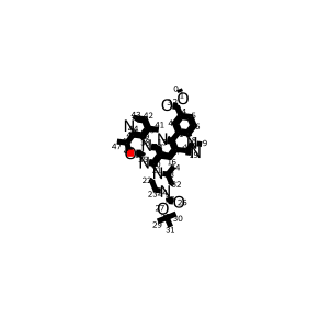 COC(=O)c1ccc(N(C)C)c(-c2nc3c(cc2C#N)c(N2CCN(C(=O)OC(C)(C)C)CC2C)nc(=O)n3-c2c(C)ccnc2C(C)C)c1